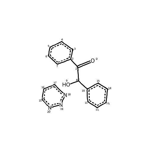 O=C(c1ccccc1)C(O)c1ccccc1.c1cnnnc1